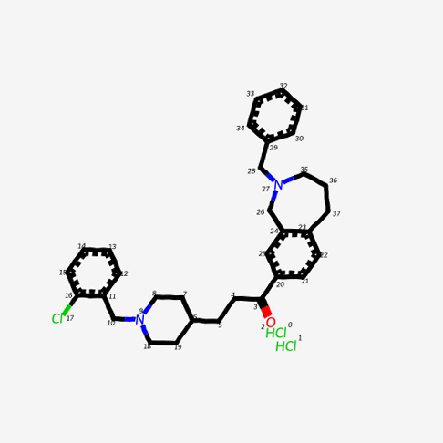 Cl.Cl.O=C(CCC1CCN(Cc2ccccc2Cl)CC1)c1ccc2c(c1)CN(Cc1ccccc1)CCC2